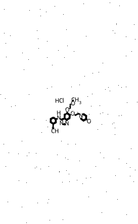 C#Cc1cccc(Nc2ncnc3cc(OCCn4ccc(=O)cc4)c(OCCOC)cc23)c1.Cl